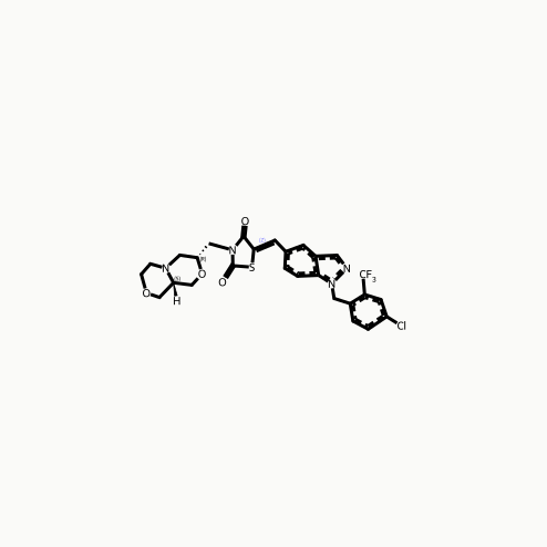 O=C1S/C(=C\c2ccc3c(cnn3Cc3ccc(Cl)cc3C(F)(F)F)c2)C(=O)N1C[C@H]1CN2CCOC[C@H]2CO1